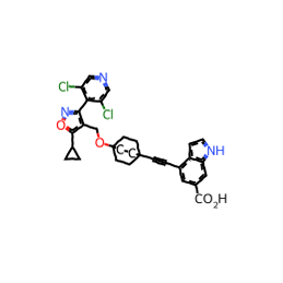 O=C(O)c1cc(C#CC23CCC(OCc4c(-c5c(Cl)cncc5Cl)noc4C4CC4)(CC2)CC3)c2cc[nH]c2c1